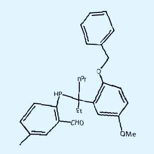 CCCC(CC)(Pc1ccc(C)cc1C=O)c1cc(OC)ccc1OCc1ccccc1